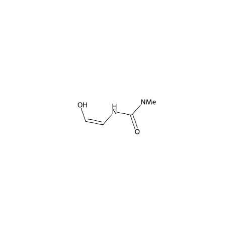 CNC(=O)N/C=C\O